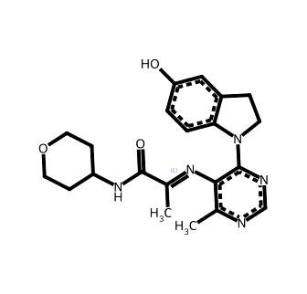 C/C(=N\c1c(C)ncnc1N1CCc2cc(O)ccc21)C(=O)NC1CCOCC1